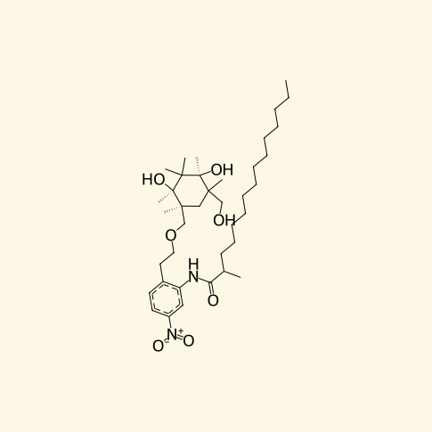 CCCCCCCCCCCCCC(C)C(=O)Nc1cc([N+](=O)[O-])ccc1CCOC[C@]1(C)CC(C)(CO)[C@](C)(O)C(C)(C)[C@]1(C)O